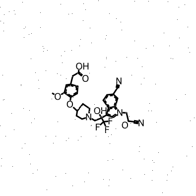 COc1cc(CC(=O)O)ccc1OC1CCN(CC(O)(c2cn(CC(=O)C#N)c3cc(C#N)ccc23)C(F)(F)F)CC1